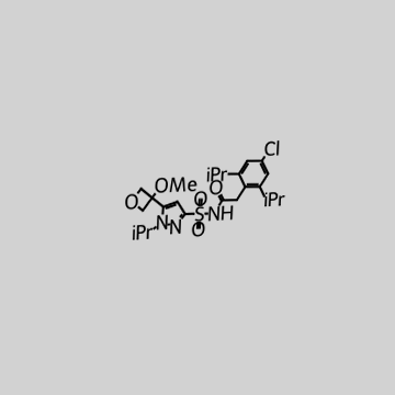 COC1(c2cc(S(=O)(=O)NC(=O)Cc3c(C(C)C)cc(Cl)cc3C(C)C)nn2C(C)C)COC1